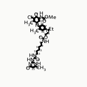 CCN(CCOC(=O)NCCCCCCNC(=O)Nc1nc(=O)cc(C)[nH]1)c1ccc(/N=C2\C=C(NC(=O)OC)C(=O)C(Cl)=C2C)c(C)c1